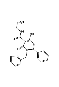 O=C(O)CNC(=O)c1c(O)cc(-c2ccccc2)n(Cc2ccccc2)c1=O